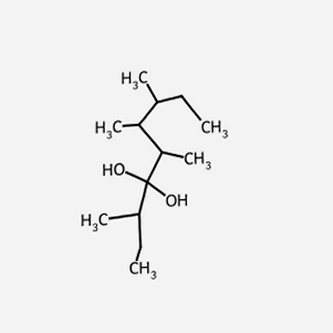 CCC(C)C(C)C(C)C(O)(O)C(C)CC